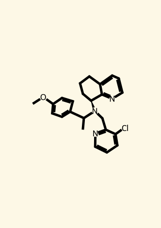 COc1ccc(C(C)N(Cc2ncccc2Cl)[C@H]2CCCc3cccnc32)cc1